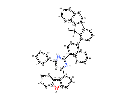 CC1(C)c2c(cccc2-c2ccc(-c3nc(-c4ccccc4)cc(-c4cccc5oc6ccccc6c45)n3)c3ccccc23)-c2ccc3ccccc3c21